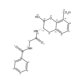 O=C(CNC(=O)c1ccccc1)N[C@H]1Cc2cccc(C(=O)O)c2OB1O